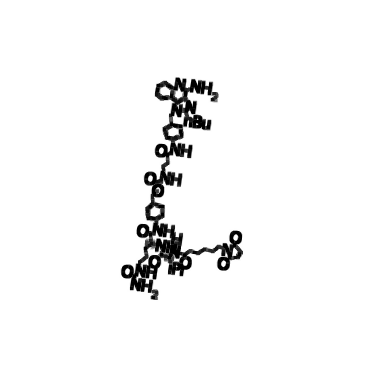 CCCCc1nc2c(N)nc3ccccc3c2n1Cc1ccc(NC(=O)CCNC(=O)OCc2ccc(NC(=O)[C@H](CCCNC(N)=O)NC(=O)[C@@H](NC(=O)CCCCCN3C(=O)C=CC3=O)C(C)C)cc2)cc1